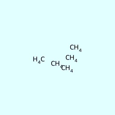 C.C.C.C.C